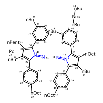 CCCCCCCCC1=C(c2cccc(CCCC)c2)[N+](=[N-])C(c2ccc(CCCCCCCC)cc2)=C1CCCC.CCCCCCCCc1ccc(C2=C(CCCC)C(CCCCC)=C(c3cccc(CCCC)c3)[N+]2=[N-])cc1.CCC[CH2][Ni][CH2]CCC.[Pd]